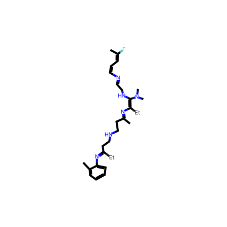 CC/C(CCNCC/C(C)=N/C(CC)=C(\NC/C=N/C=C\C=C(/C)F)N(C)C)=N\c1ccccc1C